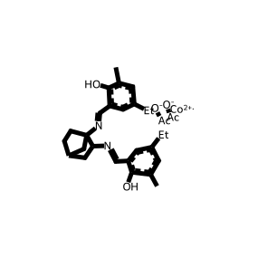 CC(=O)[O-].CC(=O)[O-].CCc1cc(C)c(O)c(C=NC2CC3CCC2(N=Cc2cc(CC)cc(C)c2O)C3)c1.[Co+2]